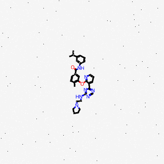 Cc1ccc(C(=O)Nc2cccc(C(C)C)c2)cc1Oc1ncccc1-c1ncnc(NCCN2CCCC2)n1